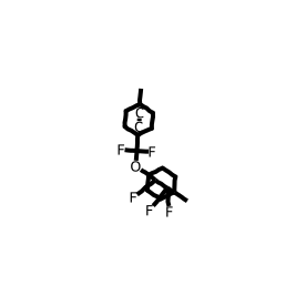 CC12CCC(C(F)(F)OC34CCC(C)(CC3)C(F)(F)C4F)(CC1)CC2